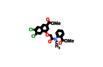 COC(=O)c1cc(OCC(=O)N(C)c2ccccc2C(=O)OC)c2cc(Cl)c(Cl)cc2c1